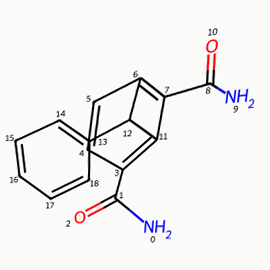 NC(=O)c1ccc2c(C(N)=O)c1C2c1ccccc1